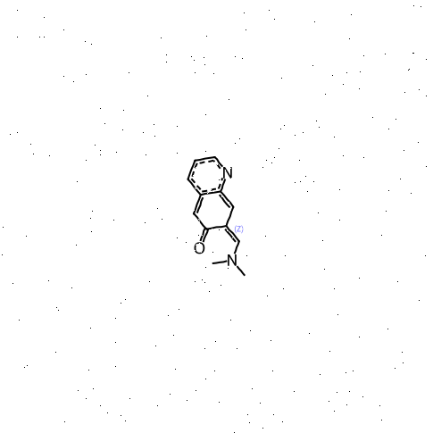 CN(C)/C=C1/C=c2ncccc2=CC1=O